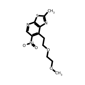 COCCOCCc1c([N+](=O)[O-])cnc2sc(C)nc12